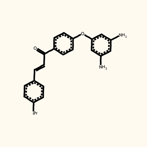 CC(C)c1ccc(C=CC(=O)c2ccc(Oc3cc(N)cc(N)c3)cc2)cc1